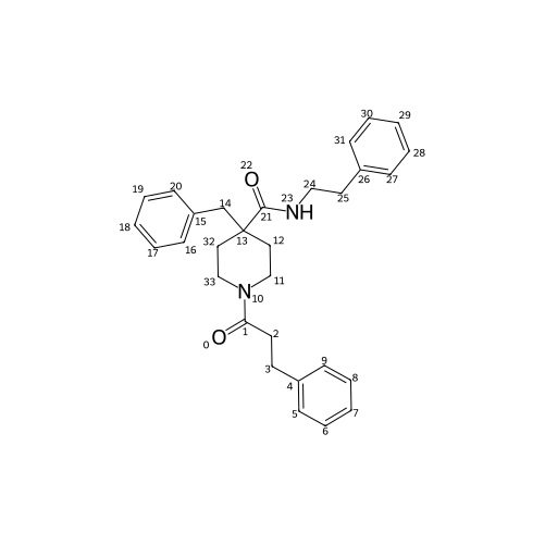 O=C(CCc1ccccc1)N1CCC(Cc2ccccc2)(C(=O)NCCc2ccccc2)CC1